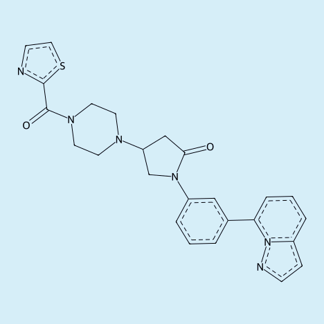 O=C(c1nccs1)N1CCN(C2CC(=O)N(c3cccc(-c4cccc5ccnn45)c3)C2)CC1